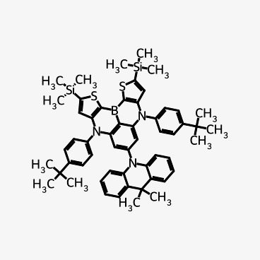 CC(C)(C)c1ccc(N2c3cc([Si](C)(C)C)sc3B3c4sc([Si](C)(C)C)cc4N(c4ccc(C(C)(C)C)cc4)c4cc(N5c6ccccc6C(C)(C)c6ccccc65)cc2c43)cc1